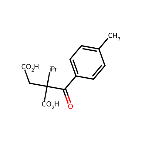 Cc1ccc(C(=O)C(CC(=O)O)(C(=O)O)C(C)C)cc1